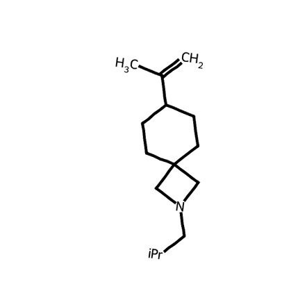 C=C(C)C1CCC2(CC1)CN(CC(C)C)C2